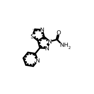 NC(=O)n1nc(-c2ccccn2)c2s[c]nc21